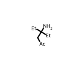 CCC(N)(CC)CC(C)=O